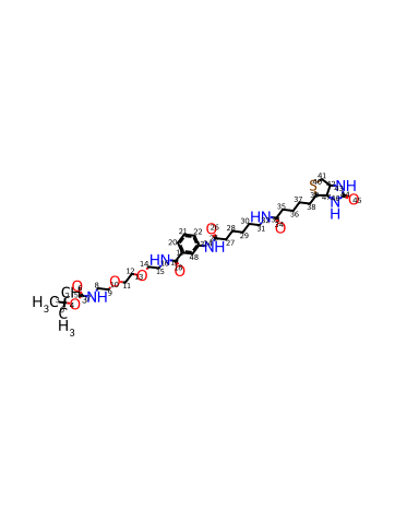 CC(C)(C)OC(=O)NCCOCCOCCNC(=O)c1cccc(NC(=O)CCCCCNC(=O)CCCCC2SCC3NC(=O)NC32)c1